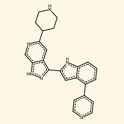 c1cc(-c2ccncc2)c2cc(-c3n[nH]c4cnc(C5CCNCC5)cc34)[nH]c2c1